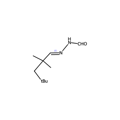 CC(C)(C)CC(C)(C)/C=N/NC=O